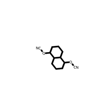 N#COC1CCCC2C(OC#N)CCCC12